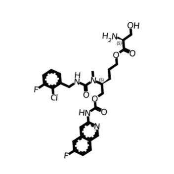 CN(C(=O)NCc1cccc(F)c1Cl)[C@@H](CCCOC(=O)[C@@H](N)CO)COC(=O)Nc1cc2cc(F)ccc2cn1